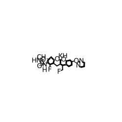 CNS(=O)(=O)Nc1cccc(Cc2c(CF)c3ccc(Oc4ncccn4)cc3oc2=O)c1F.[KH]